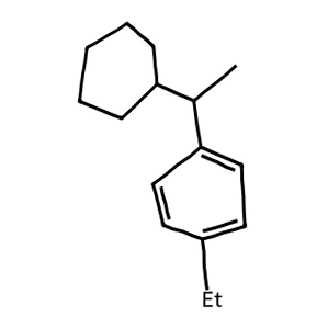 CCc1ccc(C(C)C2CCCCC2)cc1